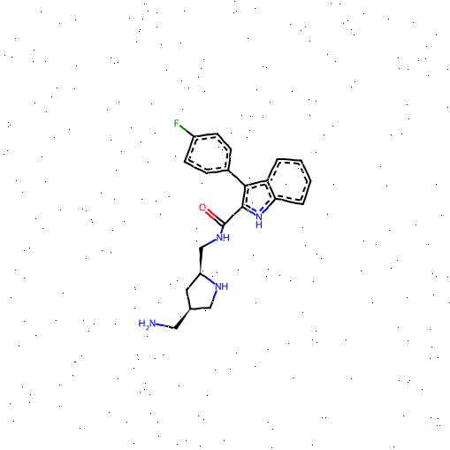 NC[C@@H]1CN[C@H](CNC(=O)c2[nH]c3ccccc3c2-c2ccc(F)cc2)C1